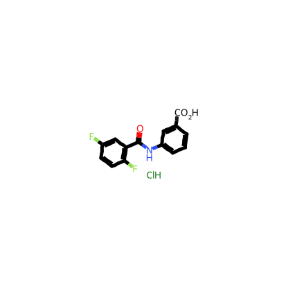 Cl.O=C(O)c1cccc(NC(=O)c2cc(F)ccc2F)c1